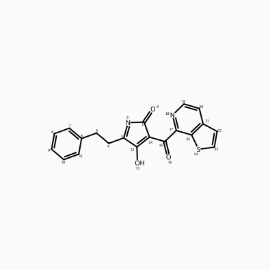 O=C1N=C(CCc2ccccc2)C(O)=C1C(=O)c1nccc2ccsc12